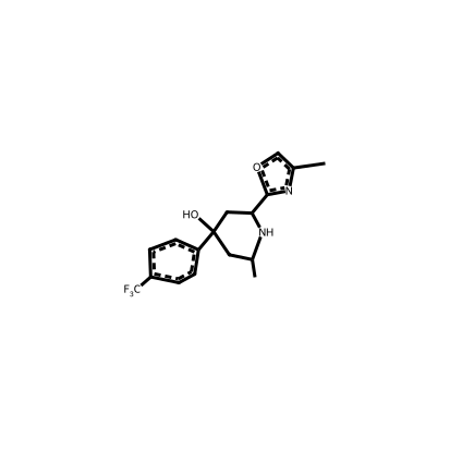 Cc1coc(C2CC(O)(c3ccc(C(F)(F)F)cc3)CC(C)N2)n1